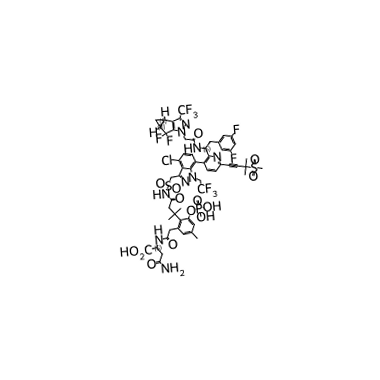 Cc1cc(CC(=O)N[C@@H](CC(N)=O)C(=O)O)c(C(C)(C)CC(=O)NS(=O)(=O)Cc2nn(CC(F)(F)F)c3c(-c4ccc(C#CC(C)(C)S(C)(=O)=O)nc4[C@H](Cc4cc(F)cc(F)c4)NC(=O)Cn4nc(C(F)(F)F)c5c4C(F)(F)[C@@H]4C[C@H]54)ccc(Cl)c23)c(OP(=O)(O)O)c1